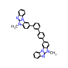 Cn1c2ccc(-c3ccc(-c4cccc(-c5ccc6c(c5)n5c7ccccc7nc5n6C)c4)cc3)cc2n2c3ccccc3nc12